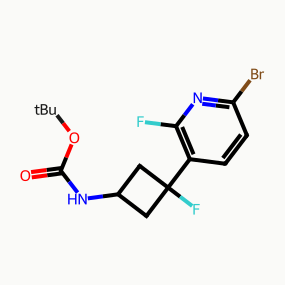 CC(C)(C)OC(=O)NC1CC(F)(c2ccc(Br)nc2F)C1